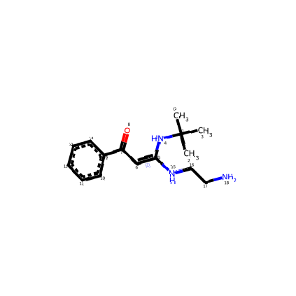 CC(C)(C)N/C(=C\C(=O)c1ccccc1)NCCN